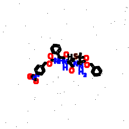 CC1(C)S[C@@H]2[C@@H](NC(=O)C(NC(=O)OCc3ccc([N+](=O)[O-])cc3)c3ccccc3)C(=O)N2[C@@]1(N)C(=O)OCc1ccccc1